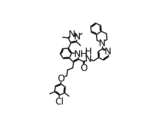 Cc1cc(OCCCc2c(C(=O)NCc3ccnc(N4CCc5ccccc5C4)c3)[nH]c3c(-c4c(C)nn(C)c4C)cccc23)cc(C)c1Cl